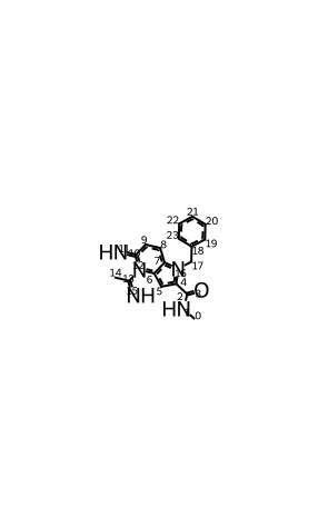 CNC(=O)c1cc2c(ccc(=N)n2C(C)=N)n1Cc1ccccc1